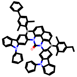 CCc1cc(C)c(B2c3cc4c5ccccc5n(-c5ccccc5)c4cc3N3C(=O)N4c5cc6c(cc5B(c5c(C)cc(-c7ccccc7)cc5C)c5ccc7ccc2c3c7c54)c2ccccc2n6-c2ccccc2)c(C)c1